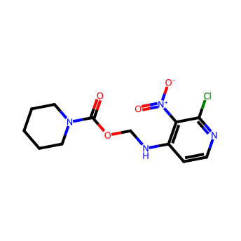 O=C(OCNc1ccnc(Cl)c1[N+](=O)[O-])N1CCCCC1